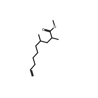 C=CCCCCC(C)CC(C)C(=O)OC